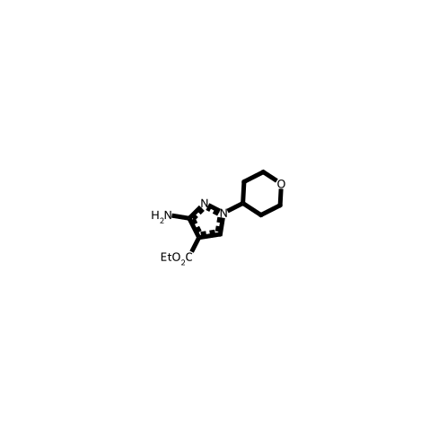 CCOC(=O)c1cn(C2CCOCC2)nc1N